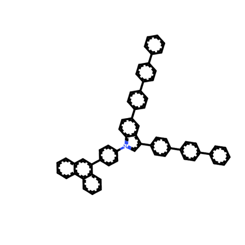 c1ccc(-c2ccc(-c3ccc(-c4ccc5c(c4)c(-c4ccc(-c6ccc(-c7ccccc7)cc6)cc4)cn5-c4ccc(-c5cc6ccccc6c6ccccc56)cc4)cc3)cc2)cc1